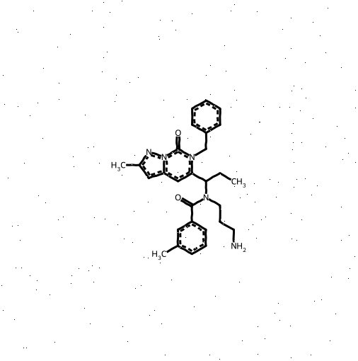 CCC(c1cc2cc(C)nn2c(=O)n1Cc1ccccc1)N(CCCN)C(=O)c1cccc(C)c1